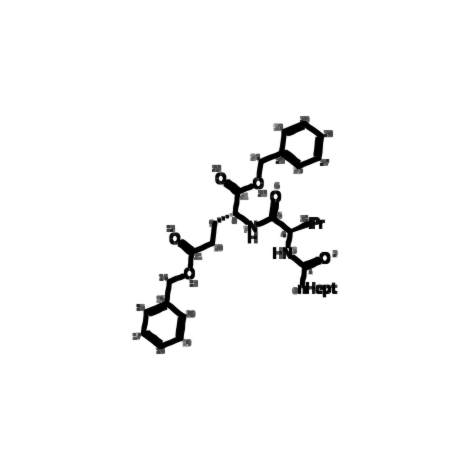 CCCCCCCC(=O)N[C@@H](C(=O)N[C@H](CCC(=O)OCc1ccccc1)C(=O)OCc1ccccc1)C(C)C